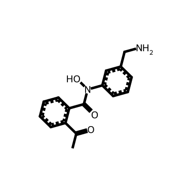 CC(=O)c1ccccc1C(=O)N(O)c1cccc(CN)c1